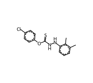 Cc1cccc(NNC(=S)Oc2ccc(Cl)cc2)c1C